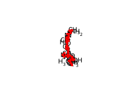 Cc1ncsc1-c1ccc(CNC(=O)[C@@H]2C[C@@H](O)CN2C(=O)[C@@H](NC(=O)C2(F)CC2)C(C)(C)C)c(OCCC2CCN(C(=O)CCC(=O)Nc3cccc(Sc4cnc(N5CCC(C)(CN)CC5)cn4)c3Cl)CC2)c1